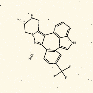 Cc1c[nH]c2nccc(-c3c(-c4ccc(C(F)(F)F)cc4)nn4c3CN[C@@H](C)C4)c12.[Cl-].[H+]